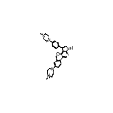 CN1CCN(c2ccc(-c3c[nH]c4ncc5c(c34)OCc3cc(N4CCN(C)CC4)ccc3-5)cc2)CC1